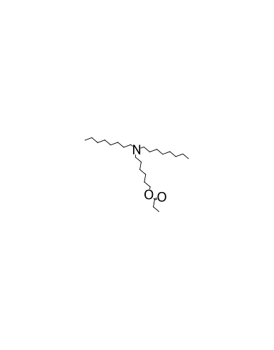 CCCCCCCCN(CCCCCCCC)CCCCCCOC(=O)CC